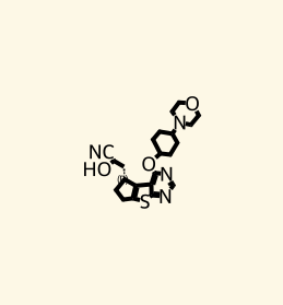 N#CC(O)C[C@H]1CCc2sc3ncnc(OC4CCC(N5CCOCC5)CC4)c3c21